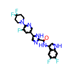 O=C(Nc1c[nH]c2cc(F)c(F)cc12)c1ncc(-c2cnc(N3CCC(F)(F)CC3)c(F)c2)[nH]1